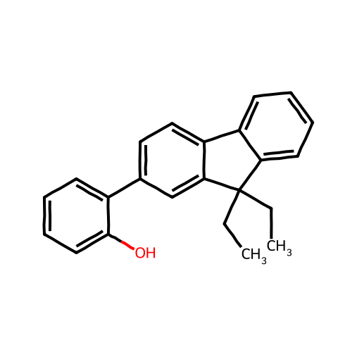 CCC1(CC)c2ccccc2-c2ccc(-c3ccccc3O)cc21